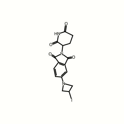 O=C1CCC(N2C(=O)c3ccc(N4CC(I)C4)cc3C2=O)C(=O)N1